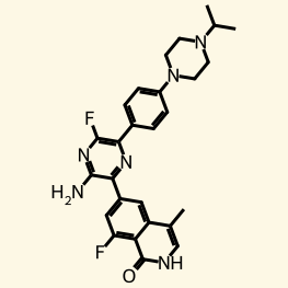 Cc1c[nH]c(=O)c2c(F)cc(-c3nc(-c4ccc(N5CCN(C(C)C)CC5)cc4)c(F)nc3N)cc12